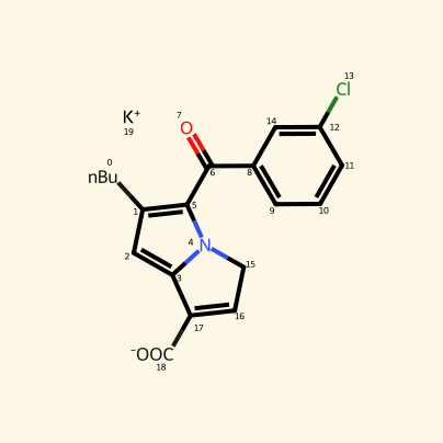 CCCCc1cc2n(c1C(=O)c1cccc(Cl)c1)CC=C2C(=O)[O-].[K+]